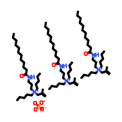 C=C(C)C[N+](CCCCC)(CCCCC)CCCNC(=O)CCCCCCCCCCC.C=C(C)C[N+](CCCCC)(CCCCC)CCCNC(=O)CCCCCCCCCCC.C=C(C)C[N+](CCCCC)(CCCCC)CCCNC(=O)CCCCCCCCCCC.O=P([O-])([O-])[O-]